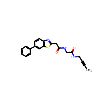 CC#CCNC(=O)CNC(=O)Cc1nc2ccc(-c3ccccc3)cc2s1